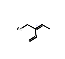 C=C/C(=C\C)CC(C)=O